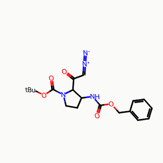 CC(C)(C)OC(=O)N1CCC(NC(=O)OCc2ccccc2)C1C(=O)C=[N+]=[N-]